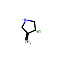 C=C1CCNC1.Cl